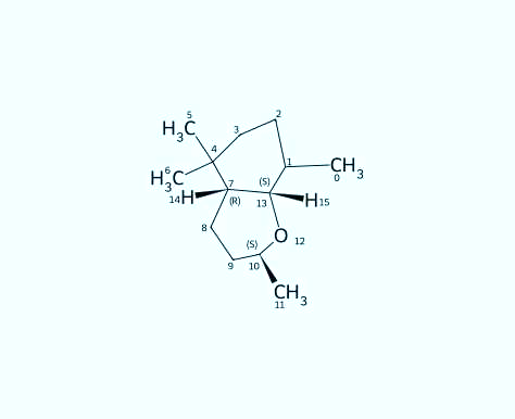 CC1CCC(C)(C)[C@H]2CC[C@H](C)O[C@@H]12